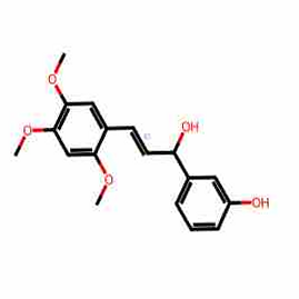 COc1cc(OC)c(OC)cc1/C=C/C(O)c1cccc(O)c1